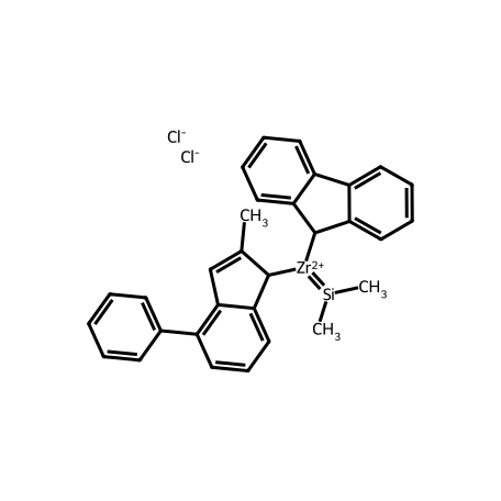 CC1=Cc2c(-c3ccccc3)cccc2[CH]1[Zr+2]([CH]1c2ccccc2-c2ccccc21)=[Si](C)C.[Cl-].[Cl-]